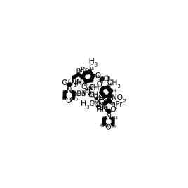 CCCC(CNC(=O)N1CCOCC1)C1([N+](=O)[O-])C=C(C)C(OC(=O)OC2C=C(O[Si](C)(C)C(C)(C)C)C(C(CCC)CNC(=O)N3CCOCC3)([N+](=O)[O-])C=C2C)C=C1O[Si](C)(C)C(C)(C)C